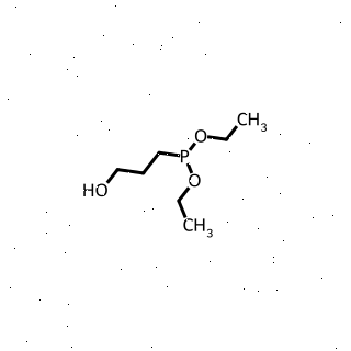 CCOP(CCCO)OCC